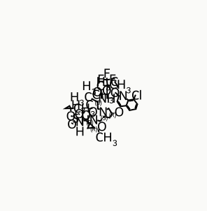 CCOc1cc(O[C@@H]2C[C@@H](C(=O)N[C@]3(C(=O)NS(=O)(=O)OC4(C)CC4)C[C@H]3CC)N(C(=O)[C@@H](NC(=O)OC(C)(C)C(F)(F)F)C(C)(C)C)C2)c2cccc(Cl)c2n1